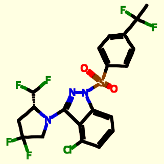 CC(F)(F)c1ccc(S(=O)(=O)n2nc(N3CC(F)(F)C[C@@H]3C(F)F)c3c(Cl)cccc32)cc1